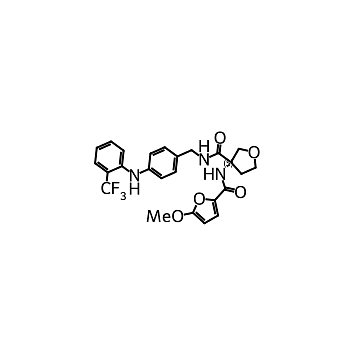 COc1ccc(C(=O)N[C@@]2(C(=O)NCc3ccc(Nc4ccccc4C(F)(F)F)cc3)CCOC2)o1